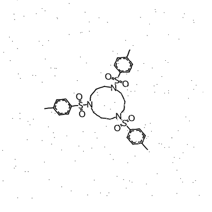 Cc1ccc(S(=O)(=O)N2CCCN(S(=O)(=O)c3ccc(C)cc3)CCCN(S(=O)(=O)c3ccc(C)cc3)CCC2)cc1